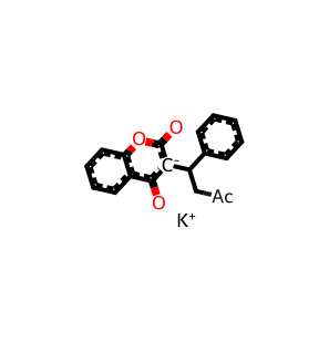 CC(=O)CC(c1ccccc1)[c-]1c(=O)oc2ccccc2c1=O.[K+]